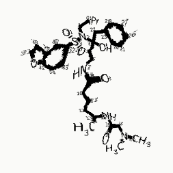 CC(C)CN(C(O)(CCNC(=O)CCCC(C)NC(=O)CN(C)C)Cc1ccccc1)S(=O)(=O)c1ccc2occc2c1